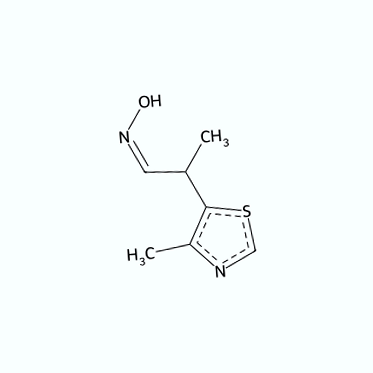 Cc1ncsc1C(C)/C=N\O